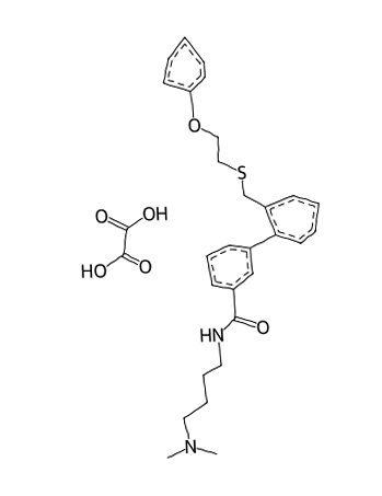 CN(C)CCCCNC(=O)c1cccc(-c2ccccc2CSCCOc2ccccc2)c1.O=C(O)C(=O)O